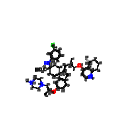 C[C@@H](COc1ccnc2c1[C@H](C)CCC2)C[C@H]1Cc2ccc(O[C@@H](C)CN3CCN(C)CC3)cc2C12CCC(Nc1cccc(Cl)c1)(C(=O)O)CC2